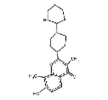 Cc1c(C2CCN(C3CCCCN3)CC2)oc2c(C)c(O)ccc2c1=O